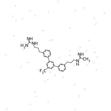 CC(=N)NCCCc1cccc(-c2cc(-c3cccc(CCCNC(=N)N)c3)cc(C(F)(F)F)c2)c1